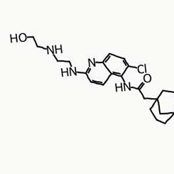 O=C(CC12CCCC(CCC1)C2)Nc1c(Cl)ccc2nc(NCCNCCO)ccc12